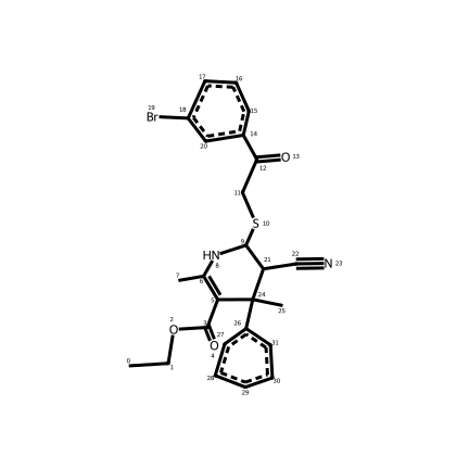 CCOC(=O)C1=C(C)NC(SCC(=O)c2cccc(Br)c2)C(C#N)C1(C)c1ccccc1